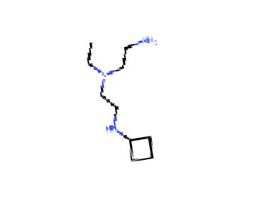 CCN(CCN)CCNC1CCC1